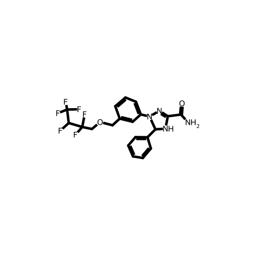 NC(=O)C1=NN(c2cccc(COCC(F)(F)C(F)C(F)(F)F)c2)C(c2ccccc2)N1